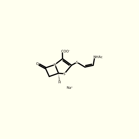 CC(=O)N/C=C\SC1=C(C(=O)[O-])N2C(=O)C[C@@H]2S1.[Na+]